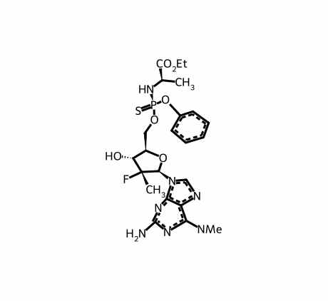 CCOC(=O)[C@@H](C)N[P@](=S)(OC[C@H]1O[C@@H](n2cnc3c(NC)nc(N)nc32)[C@](C)(F)[C@@H]1O)Oc1ccccc1